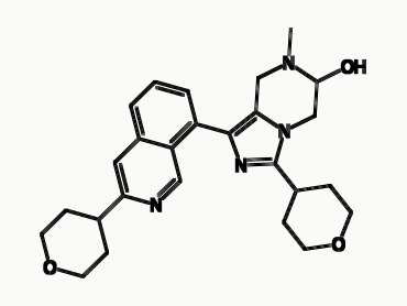 CN1Cc2c(-c3cccc4cc(C5CCOCC5)ncc34)nc(C3CCOCC3)n2CC1O